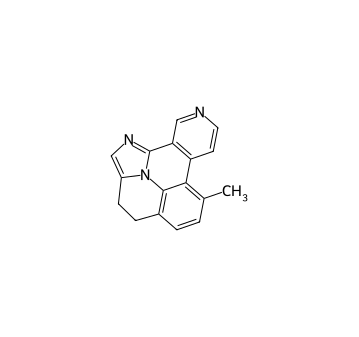 Cc1ccc2c3c1c1ccncc1c1ncc(n13)CC2